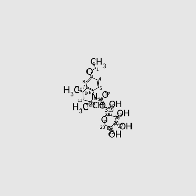 CCOc1ccc2c(c1)C(C)=CC(C)(C)N2C(=O)OC(O)[C@H]1OC[C@H](O)[C@@H](O)[C@@H]1O